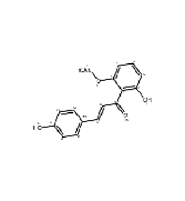 CCCCCCCCCCOc1cccc(O)c1C(=O)C=Cc1ccc(O)cc1